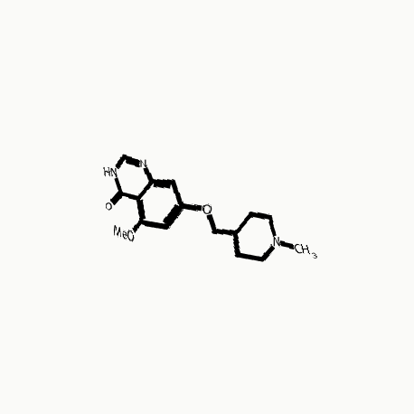 COc1cc(OCC2CCN(C)CC2)cc2nc[nH]c(=O)c12